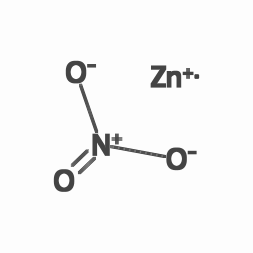 O=[N+]([O-])[O-].[Zn+]